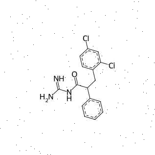 N=C(N)NC(=O)C(Cc1ccc(Cl)cc1Cl)c1ccccc1